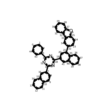 c1ccc(-c2nc(-c3ccc4ccccc4c3)nc(-c3cc(-c4ccc5oc6ccccc6c5c4)c4ccccc4c3)n2)cc1